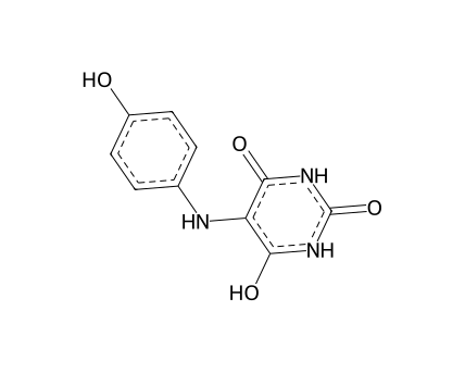 O=c1[nH]c(O)c(Nc2ccc(O)cc2)c(=O)[nH]1